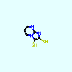 Sc1nc2ncccn2c1S